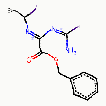 CCC(I)/N=C(\N=C(/N)I)C(=O)OCc1ccccc1